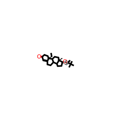 CC[C@]12CCC(=O)C=C1CCC1C2CC[C@@]2(C)C1CC[C@@H]2O[Si](C)(C)C(C)(C)C